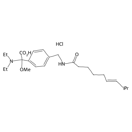 CCN(CC)C(OC)(C(=O)O)c1ccc(CNC(=O)CCCCC=CC(C)C)cc1.Cl